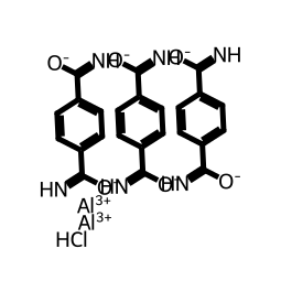 Cl.N=C([O-])c1ccc(C(=N)[O-])cc1.N=C([O-])c1ccc(C(=N)[O-])cc1.N=C([O-])c1ccc(C(=N)[O-])cc1.[Al+3].[Al+3]